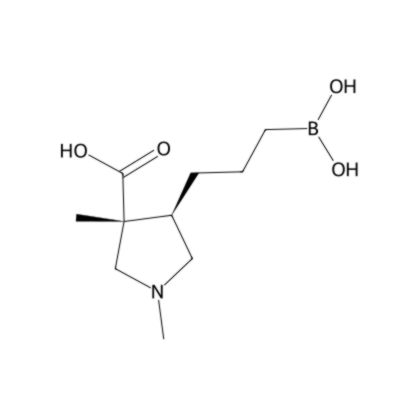 CN1C[C@H](CCCB(O)O)[C@@](C)(C(=O)O)C1